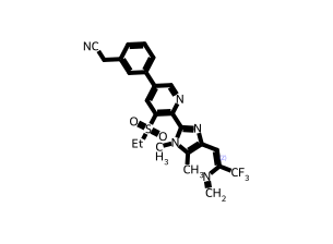 C=N/C(=C\c1nc(-c2ncc(-c3cccc(CC#N)c3)cc2S(=O)(=O)CC)n(C)c1C)C(F)(F)F